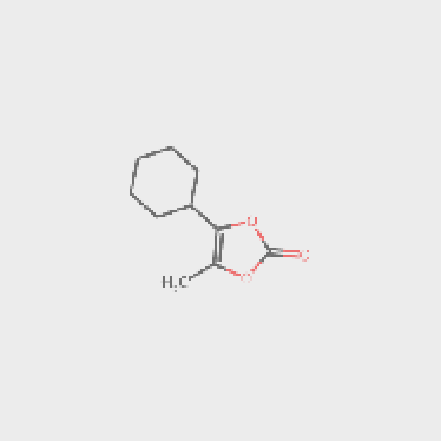 [CH2]c1oc(=O)oc1C1CCCCC1